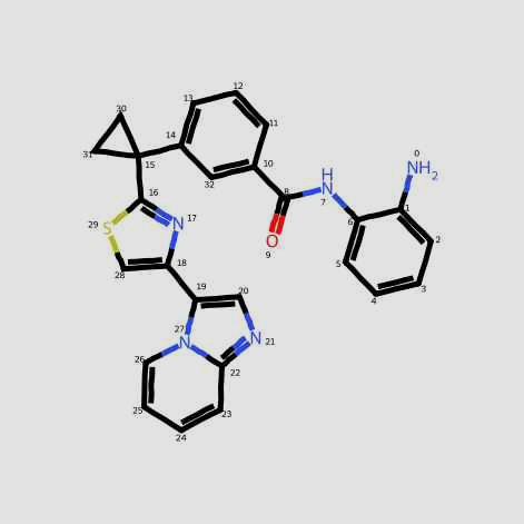 Nc1ccccc1NC(=O)c1cccc(C2(c3nc(-c4cnc5ccccn45)cs3)CC2)c1